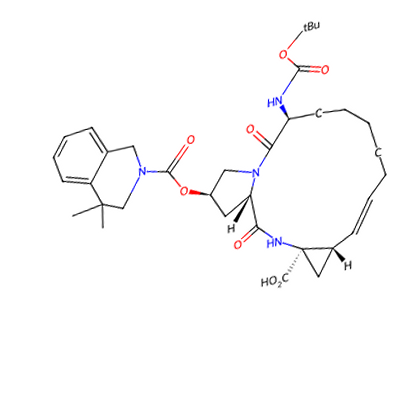 CC(C)(C)OC(=O)N[C@H]1CCCCC/C=C/[C@@H]2C[C@@]2(C(=O)O)NC(=O)[C@@H]2C[C@@H](OC(=O)N3Cc4ccccc4C(C)(C)C3)CN2C1=O